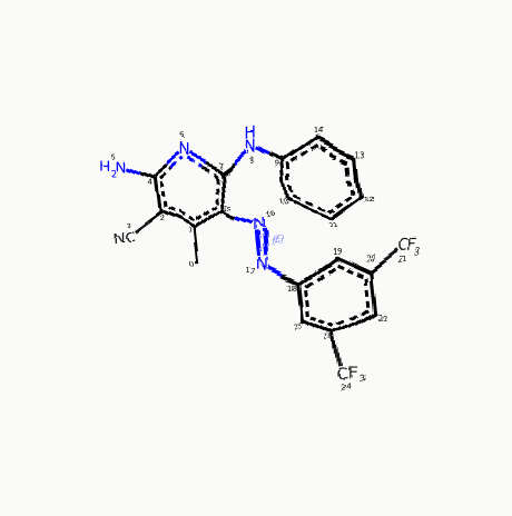 Cc1c(C#N)c(N)nc(Nc2ccccc2)c1/N=N/c1cc(C(F)(F)F)cc(C(F)(F)F)c1